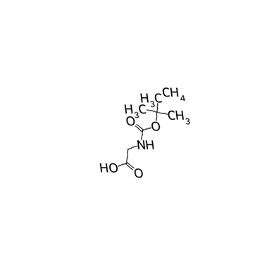 C.CC(C)(C)OC(=O)NCC(=O)O